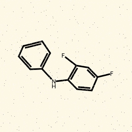 Fc1ccc(Nc2cc[c]cc2)c(F)c1